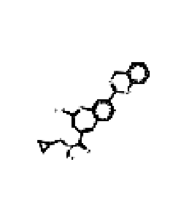 CCCN(CC1CC1)C(=O)C1=Cc2ccc(C3=NCc4ccccc4N3)cc2N=C(N)C1